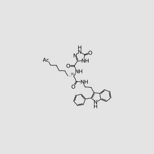 CC(=O)CCCCC[C@H](NC(=O)c1n[nH]c(=O)[nH]1)C(=O)NCCc1c(-c2ccccc2)[nH]c2ccccc12